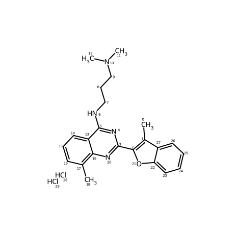 Cc1c(-c2nc(NCCCN(C)C)c3cccc(C)c3n2)oc2ccccc12.Cl.Cl